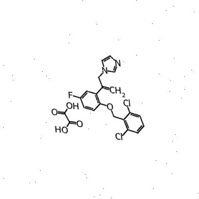 C=C(Cn1ccnc1)c1cc(F)ccc1OCc1c(Cl)cccc1Cl.O=C(O)C(=O)O